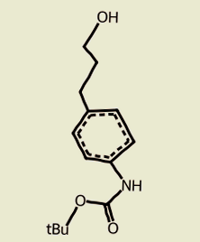 CC(C)(C)OC(=O)Nc1ccc(CCCO)cc1